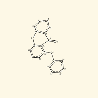 O=C1c2ccccc2Cc2cccc(Cc3ccccc3)c21